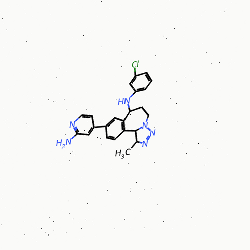 CC1N=NN2CCC(Nc3cccc(Cl)c3)c3cc(-c4ccnc(N)c4)ccc3C12